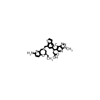 CC[C@@H]1CN(Cc2cc([C@H](CC(=O)O)c3cnc4c(nnn4C)c3C)cc3ccsc23)Cc2nc(N)ccc2O1